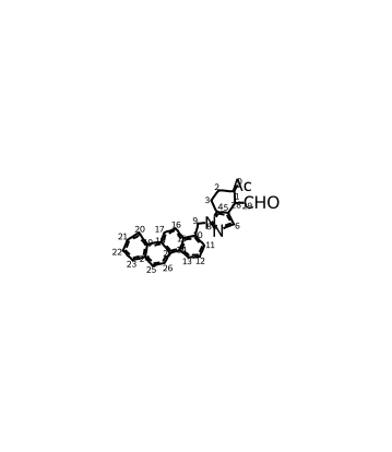 CC(=O)C1CCc2c(cnn2Cc2cccc3c2ccc2c4ccccc4ccc32)C1C=O